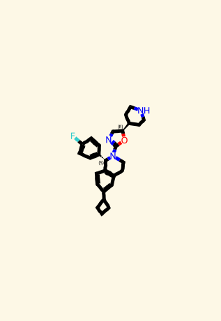 Fc1ccc([C@H]2c3ccc(C4CCC4)cc3CCN2C2=NC[C@@H](C3CCNCC3)O2)cc1